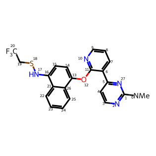 CNc1nccc(-c2cccnc2Oc2ccc(NSCC(F)(F)F)c3ccccc23)n1